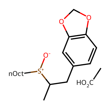 CC(=O)O.CCCCCCCC[S+]([O-])C(C)Cc1ccc2c(c1)OCO2